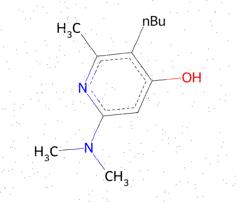 CCCCc1c(O)cc(N(C)C)nc1C